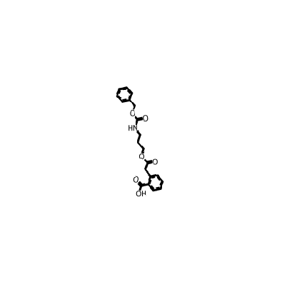 O=C(Cc1ccccc1C(=O)O)OCCCNC(=O)OCc1ccccc1